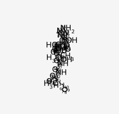 CC(CCCc1ccccc1)[SH](CCNC(=O)CCNC(=O)C(O)C(C)(C)COP(=O)(O)OP(=O)(O)OC[C@H]1O[C@@H](n2cnc3c(N)ncnc32)[C@H](O)[C@@H]1OP(=O)(O)O)C(=O)C1CO1